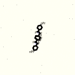 CCCC1CCC(/C(F)=C(\F)C2=CC=C(/C(F)=C(\F)C3CCC(CCC)CC3)C(F)(F)C2(F)F)CC1